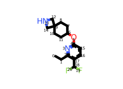 CCc1nc(OC2CCC3(CC2)CNC3)ccc1C(F)F